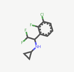 Fc1c(Cl)cccc1C(NC1CC1)C(F)F